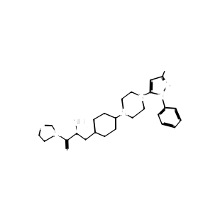 Cc1cc(N2CCN(C3CCC(C[C@H](N)C(=O)N4CCSC4)CC3)CC2)n(-c2ccccc2)n1